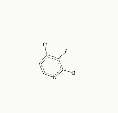 [O]c1nccc(Cl)c1F